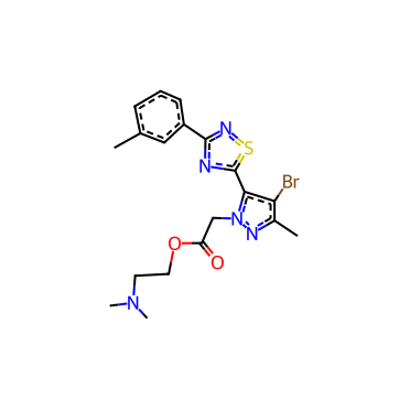 Cc1cccc(-c2nsc(-c3c(Br)c(C)nn3CC(=O)OCCN(C)C)n2)c1